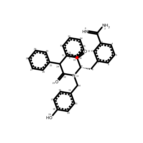 N=C(N)c1cccc(C[C@@H](C(N)=O)N(Cc2ccc(O)cc2)C(=O)C(c2ccccc2)c2ccccc2)c1